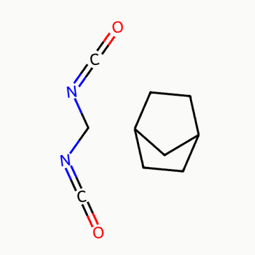 C1CC2CCC1C2.O=C=NCN=C=O